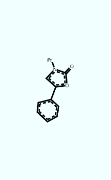 CC(C)n1cc(-c2ccccc2)oc1=O